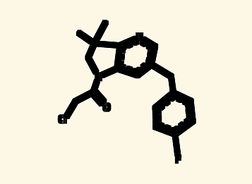 CC1(C)CN(C(=O)CCl)c2cc(Cc3ccc(F)cc3)cnc21